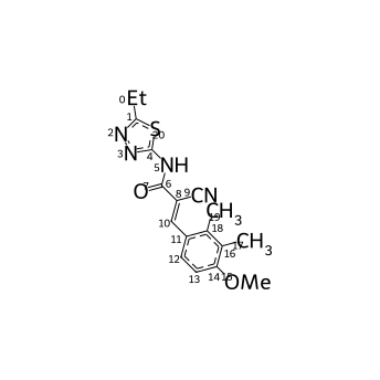 CCc1nnc(NC(=O)/C(C#N)=C/c2ccc(OC)c(C)c2C)s1